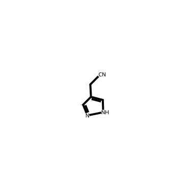 N#CCc1[c]n[nH]c1